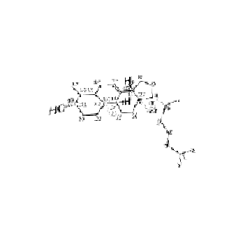 CC(C)CCCC(C)[C@H]1CC[C@H]2C3=CCC4C(C)[C@@H](O)CC[C@]4(C)[C@H]3CC[C@]12C